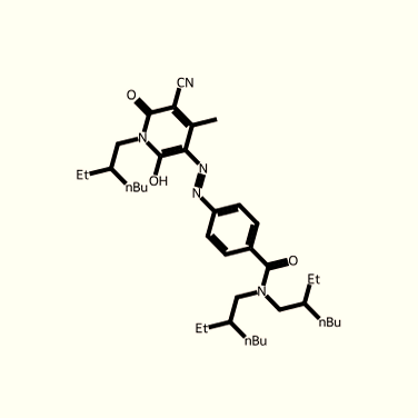 CCCCC(CC)CN(CC(CC)CCCC)C(=O)c1ccc(/N=N/c2c(C)c(C#N)c(=O)n(CC(CC)CCCC)c2O)cc1